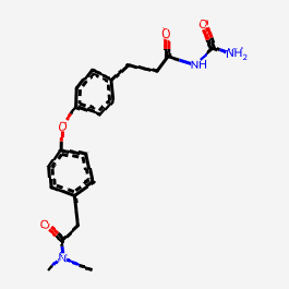 CN(C)C(=O)Cc1ccc(Oc2ccc(CCC(=O)NC(N)=O)cc2)cc1